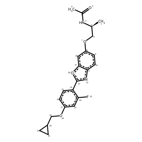 CC(=O)N[C@@H](C)COc1ccc2nc(-c3ccc(OCC4CC4)cc3F)oc2c1